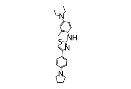 CCN(CC)c1ccc(Nc2nc(-c3ccc(N4CCCC4)cc3)cs2)c(C)c1